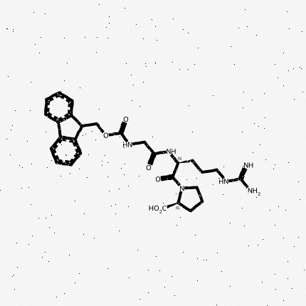 N=C(N)NCCC[C@H](NC(=O)CNC(=O)OCC1c2ccccc2-c2ccccc21)C(=O)N1CCC[C@H]1C(=O)O